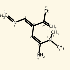 C=N/C=C(\C=C(\N)N(C)C)C(=C)CC